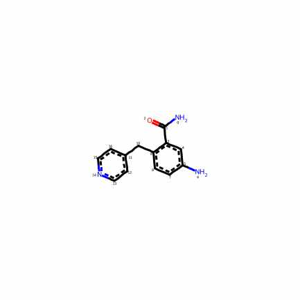 NC(=O)c1cc(N)ccc1Cc1ccncc1